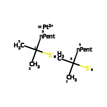 CCCCCC(C)(C)[S-].CCCCCC(C)(C)[S-].[Pt+2]